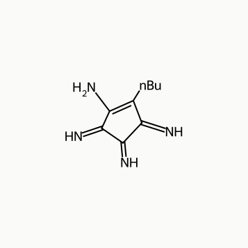 CCCCc1c(N)c(=N)c(=N)c1=N